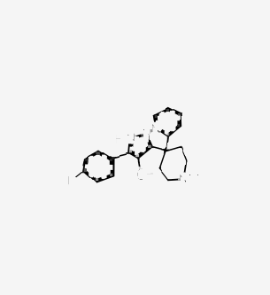 Cc1c(C2(c3ccccn3)CCNCC2)n[nH]c1-c1ccc(F)cc1